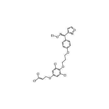 CCO/N=C(\c1ccc(OCCCOc2c(Cl)cc(OCC=C(Cl)Cl)cc2Cl)cc1)c1ccon1